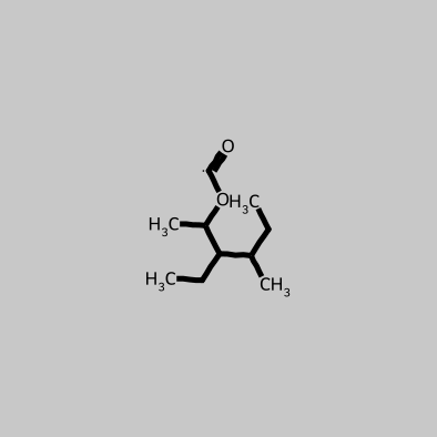 CCC(C)C(CC)C(C)O[C]=O